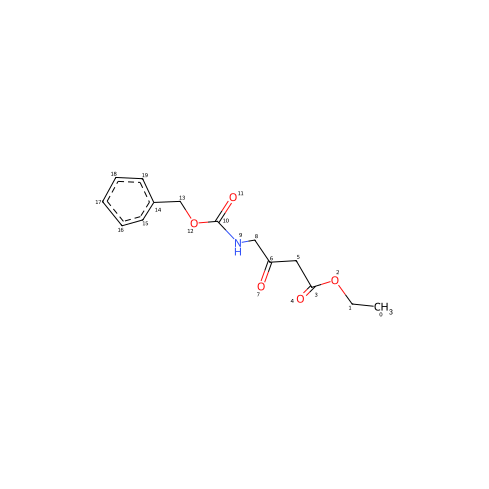 CCOC(=O)CC(=O)CNC(=O)OCc1ccccc1